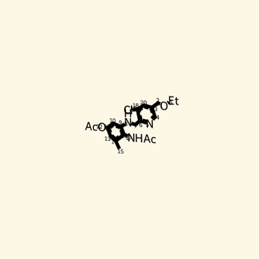 CCOCc1cnc(CNc2cc(OC(C)=O)cc(C)c2NC(C)=O)c(Cl)c1